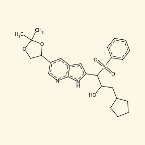 CC1(C)OCC(c2cnc3[nH]c(C(C(O)CC4CCCC4)S(=O)(=O)c4ccccc4)cc3c2)O1